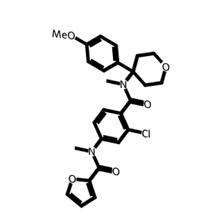 COc1ccc(C2(N(C)C(=O)c3ccc(N(C)C(=O)c4ccco4)cc3Cl)CCOCC2)cc1